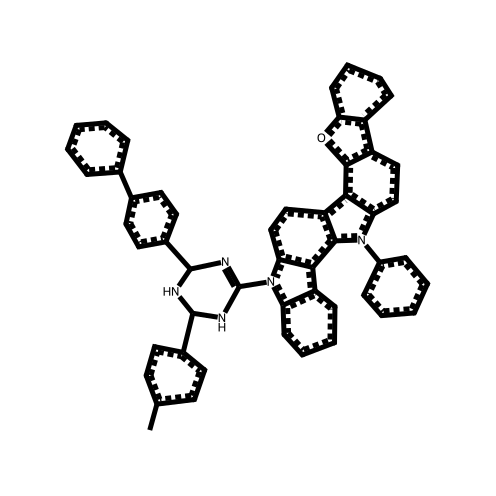 Cc1ccc(C2NC(n3c4ccccc4c4c3ccc3c5c6oc7ccccc7c6ccc5n(-c5ccccc5)c34)=NC(c3ccc(-c4ccccc4)cc3)N2)cc1